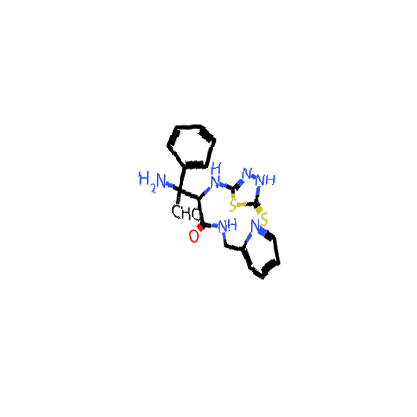 NC(C=O)(c1ccccc1)C(Nc1n[nH]c(=S)s1)C(=O)NCc1ccccn1